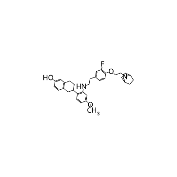 COc1ccc(C2CCc3cc(O)ccc3C2)c(NCCc2ccc(OCCN3C4CCC3CC4)c(F)c2)c1